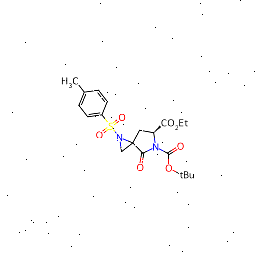 CCOC(=O)[C@@H]1CC2(CN2S(=O)(=O)c2ccc(C)cc2)C(=O)N1C(=O)OC(C)(C)C